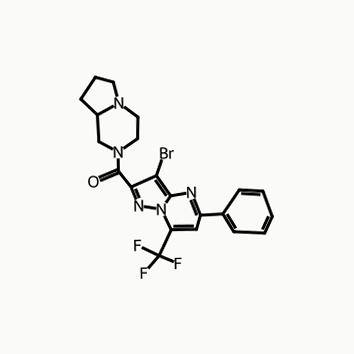 O=C(c1nn2c(C(F)(F)F)cc(-c3ccccc3)nc2c1Br)N1CCN2CCCC2C1